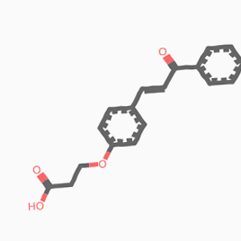 O=C(O)CCOc1ccc(C=CC(=O)c2ccccc2)cc1